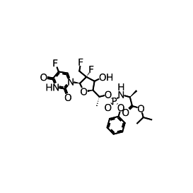 CC(C)OC(=O)[C@H](C)NP(=O)(Oc1ccccc1)O[C@H](C)[C@H]1O[C@@H](n2cc(F)c(=O)[nH]c2=O)[C@@](F)(CF)C1O